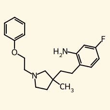 CC1(CCc2ccc(F)cc2N)CCN(CCOc2ccccc2)C1